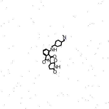 C/N=C\C1CCC(CNc2cccc3c2C(=O)N(C2CCC(=O)NC2=O)C3=O)CC1